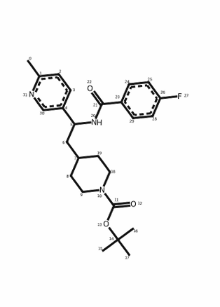 Cc1ccc(C(CC2CCN(C(=O)OC(C)(C)C)CC2)NC(=O)c2ccc(F)cc2)cn1